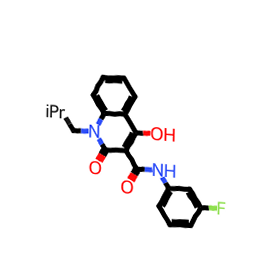 CC(C)Cn1c(=O)c(C(=O)Nc2cccc(F)c2)c(O)c2ccccc21